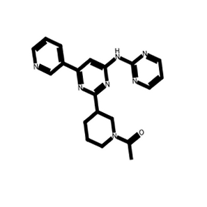 CC(=O)N1CCCC(c2nc(Nc3ncccn3)cc(-c3cccnc3)n2)C1